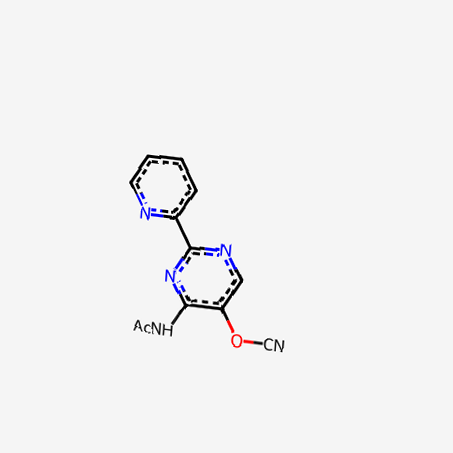 CC(=O)Nc1nc(-c2ccccn2)ncc1OC#N